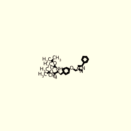 CC(C)(C)OC(=O)N[C@@H](Cc1ccc(OCn2cc(-c3ccccc3)nn2)cc1)C(=O)OC(C)(C)C